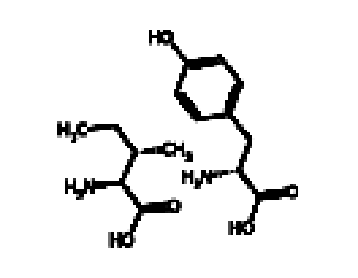 CC[C@H](C)[C@H](N)C(=O)O.N[C@H](Cc1ccc(O)cc1)C(=O)O